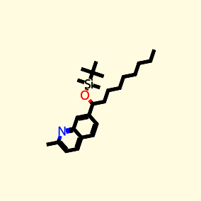 CCCCCCCCC(O[Si](C)(C)C(C)(C)C)c1ccc2ccc(C)nc2c1